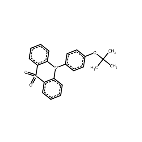 CC(C)(C)Oc1ccc([S+]2c3ccccc3S(=O)(=O)c3ccccc32)cc1